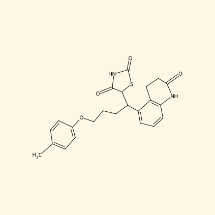 Cc1ccc(OCCCC(c2cccc3c2CCC(=O)N3)C2SC(=O)NC2=O)cc1